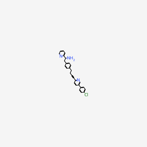 NC(Cc1ccc(CCC#Cc2ccc(-c3ccc(Cl)cc3)cn2)cc1)c1ccccn1